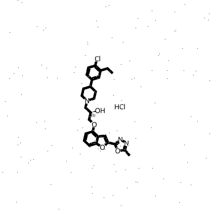 CCc1cc(C2CCN(C[C@H](O)COc3cccc4oc(-c5nnc(C)o5)cc34)CC2)ccc1Cl.Cl